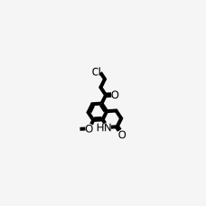 COc1ccc(C(=O)CCCl)c2c1NC(=O)CC2